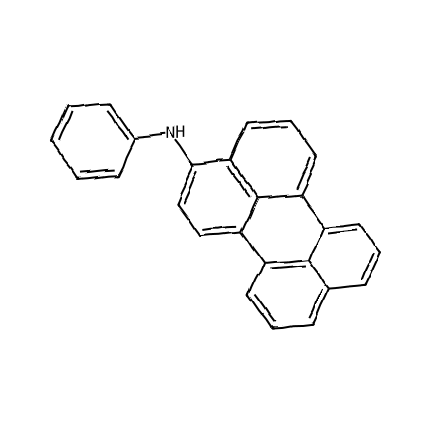 c1ccc(Nc2ccc3c4cccc5cccc(c6cccc2c63)c54)cc1